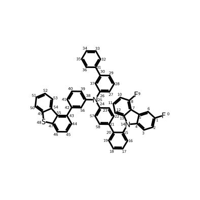 Fc1ccc2c(c1)c1c(F)cccc1n2-c1ccccc1-c1ccc(N(c2cccc(-c3ccccc3)c2)c2cccc(-c3cccc4sc5ccccc5c34)c2)cc1